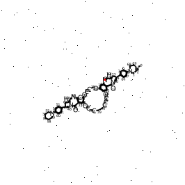 CN1CCN(c2ccc(C3=CN4C(=O)c5cc6c(cc5N=C[C@@H]4C3)OCCCOc3cc4c(cc3OCCCCCCCCO6)C(=O)N3C=C(c5ccc(N6CCCCC6)cc5)C[C@H]3C=N4)cc2)CC1